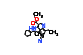 CCOC(=O)c1cnc2c(CC)cc(C#N)cc2c1NC(C)c1ccccc1